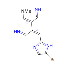 CN/C=C(C=N)/C(C=N)=C/c1ncc(Br)[nH]1